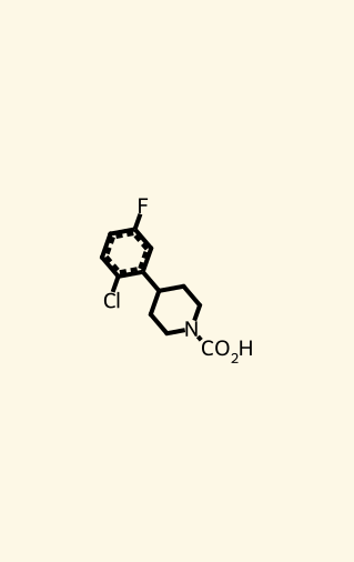 O=C(O)N1CCC(c2cc(F)ccc2Cl)CC1